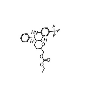 CCOC(=O)OC[C@H]1CC[C@@H]2[C@H](O1)c1cc(C(F)(F)F)ccc1N[C@H]2c1ccccc1